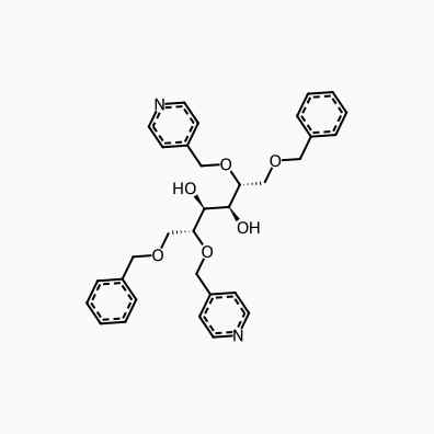 O[C@@H]([C@H](O)[C@@H](COCc1ccccc1)OCc1ccncc1)[C@@H](COCc1ccccc1)OCc1ccncc1